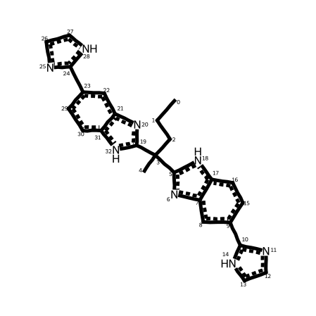 CCCC(C)(c1nc2cc(-c3ncc[nH]3)ccc2[nH]1)c1nc2cc(-c3ncc[nH]3)ccc2[nH]1